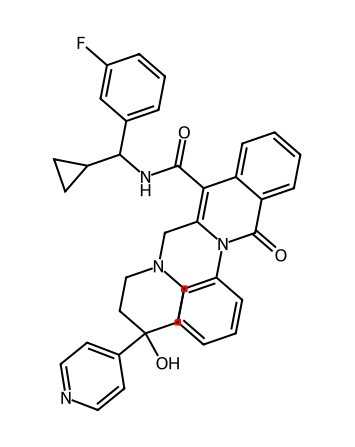 O=C(NC(c1cccc(F)c1)C1CC1)c1c(CN2CCC(O)(c3ccncc3)CC2)n(-c2ccccc2)c(=O)c2ccccc12